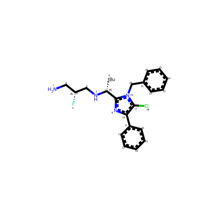 CC(C)(C)[C@@H](NC[C@H](F)CN)c1nc(-c2ccccc2)c(Cl)n1Cc1ccccc1